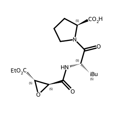 CCOC(=O)[C@H]1O[C@@H]1C(=O)N[C@H](C(=O)N1CCC[C@H]1C(=O)O)[C@@H](C)CC